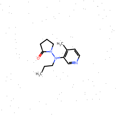 CCCN(c1cnccc1C)N1CCCC1=O